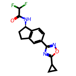 O=C(N[C@@H]1CCc2cc(-c3noc(C4CC4)n3)ccc21)C(F)F